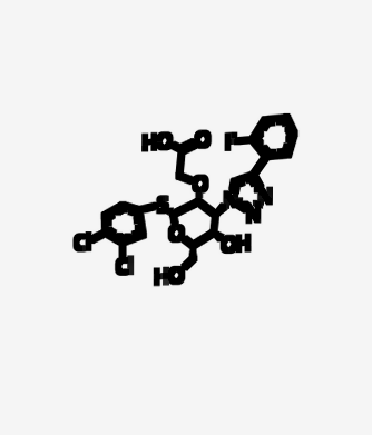 O=C(O)CO[C@@H]1[C@@H](n2cc(-c3ccccc3F)nn2)[C@@H](O)[C@@H](CO)O[C@@H]1Sc1ccc(Cl)c(Cl)c1